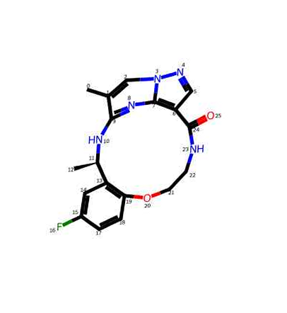 Cc1cn2ncc3c2nc1N[C@H](C)c1cc(F)ccc1OCCNC3=O